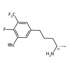 C[C@H](N)CCCc1cc(C(C)(C)C)c(F)c(C(F)(F)F)c1